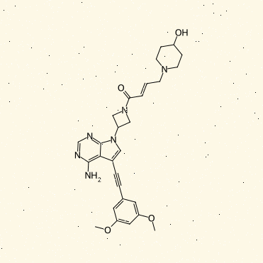 COc1cc(C#Cc2cn(C3CN(C(=O)/C=C/CN4CCC(O)CC4)C3)c3ncnc(N)c23)cc(OC)c1